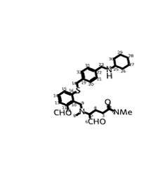 CNC(=O)CCC(C=O)N(C)Cc1c(C=O)cccc1SCc1ccc(CNC2CCCCC2)cc1